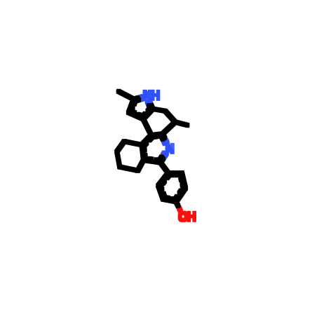 Cc1cc2c([nH]1)CC(C)c1nc(-c3ccc(O)cc3)c3c(c1-2)CCCC3